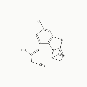 CCC(=O)O.O=C1C2CN=C3N1c1cc(Cl)ccc1N32